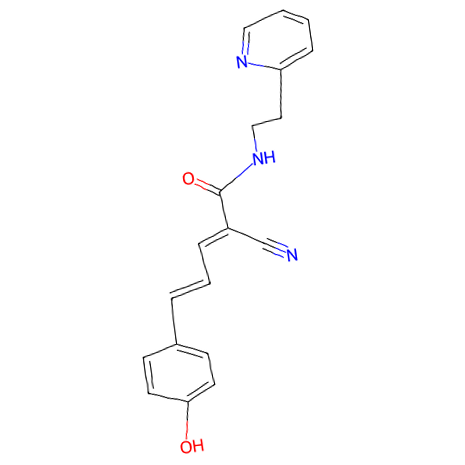 N#C/C(=C\C=C\c1ccc(O)cc1)C(=O)NCCc1ccccn1